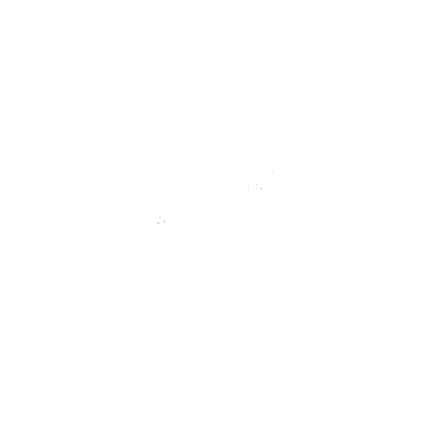 O=C(NS(=O)(=O)c1ccc(F)cc1)c1cccc(-c2cccc(CC(=O)N(Cc3ccccc3)[C@@H]3c4ccccc4CC[C@H]3Cc3ccccc3)c2)c1